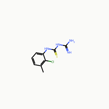 Cc1cccc(NC(=S)NC(=N)N)c1Cl